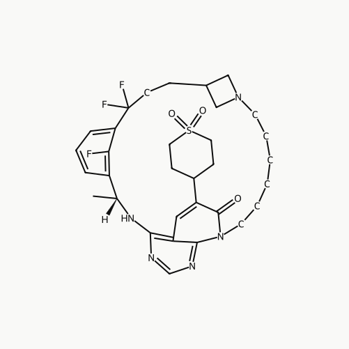 C[C@H]1Nc2ncnc3c2cc(C2CCS(=O)(=O)CC2)c(=O)n3CCCCCCN2CC(CCC(F)(F)c3cccc1c3F)C2